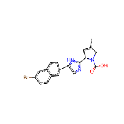 CC1=CC(c2ncc(-c3ccc4cc(Br)ccc4c3)[nH]2)N(C(=O)O)C1